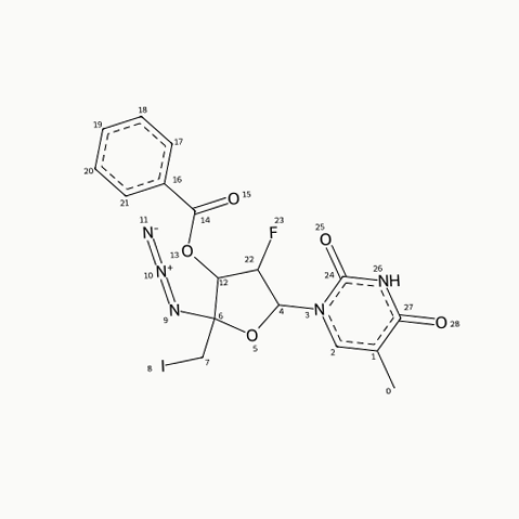 Cc1cn(C2OC(CI)(N=[N+]=[N-])C(OC(=O)c3ccccc3)C2F)c(=O)[nH]c1=O